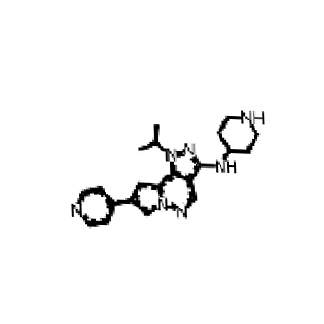 CC(C)n1nc(NC2CCNCC2)c2cnn3cc(-c4ccncc4)cc3c21